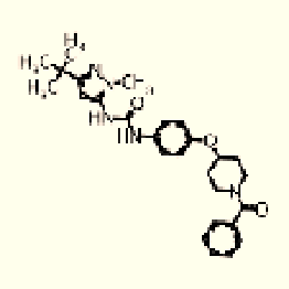 Cn1nc(C(C)(C)C)cc1NC(=O)Nc1ccc(OC2CCN(C(=O)c3ccccc3)CC2)cc1